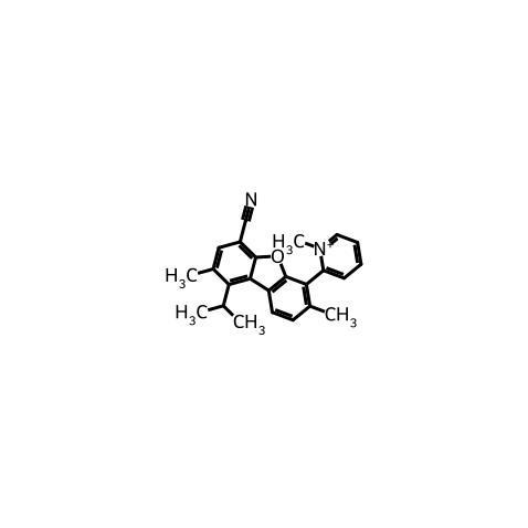 Cc1ccc2c(oc3c(C#N)cc(C)c(C(C)C)c32)c1-c1cccc[n+]1C